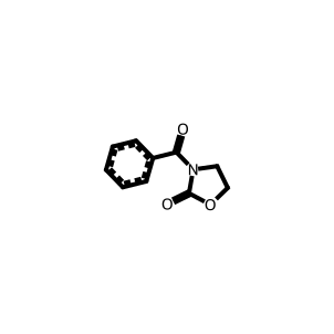 O=C1OCCN1C(=O)c1ccccc1